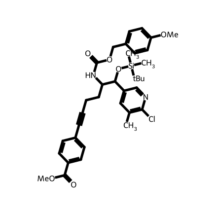 COC(=O)c1ccc(C#CCCC(NC(=O)OCc2ccc(OC)cc2)C(O[Si](C)(C)C(C)(C)C)c2cnc(Cl)c(C)c2)cc1